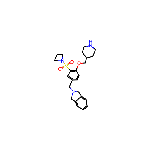 O=S(=O)(c1cc(CN2Cc3ccccc3C2)ccc1OCC1CCNCC1)N1CCC1